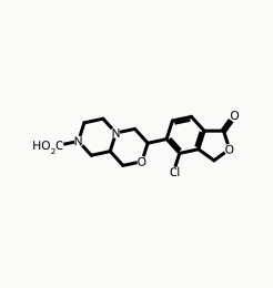 O=C1OCc2c1ccc(C1CN3CCN(C(=O)O)CC3CO1)c2Cl